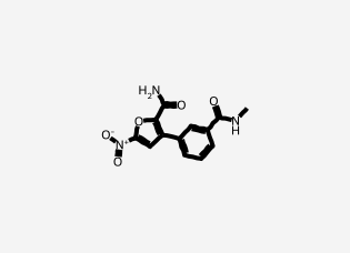 CNC(=O)c1cccc(-c2cc([N+](=O)[O-])oc2C(N)=O)c1